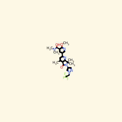 COc1ncc(-c2cc(C)c3c(n2)C(C)(C)N(c2cnn(CC(F)(F)F)c2)C3=O)cc1C(O)N(C)C